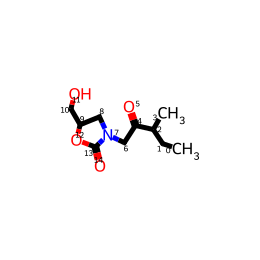 CCC(C)C(=O)CN1CC(CO)OC1=O